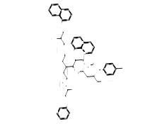 Cc1ccc(OC(CO)CCNC(C(CCNCC(O)COc2cccc3ccccc23)CCNC(O)COc2ccccc2)C(CNCO)Oc2cccc3ccccc23)cc1